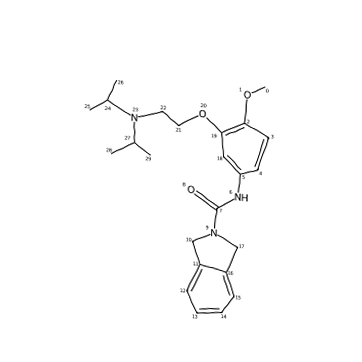 COc1ccc(NC(=O)N2Cc3ccccc3C2)cc1OCCN(C(C)C)C(C)C